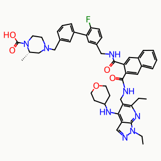 CCc1nc2c(cnn2CC)c(NC2CCOCC2)c1CNC(=O)c1cc2ccccc2cc1C(=O)NCc1ccc(F)c(-c2cccc(CN3CCN(C(=O)O)[C@@H](C)C3)c2)c1